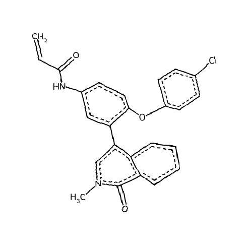 C=CC(=O)Nc1ccc(Oc2ccc(Cl)cc2)c(-c2cn(C)c(=O)c3ccccc23)c1